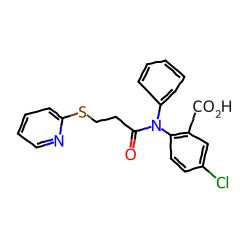 O=C(O)c1cc(Cl)ccc1N(C(=O)CCSc1ccccn1)c1ccccc1